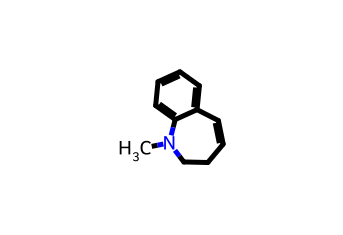 CN1CCC=Cc2ccccc21